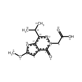 COc1cc2c(=O)n(CC(=O)O)nc(C(C)C)c2o1